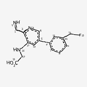 N=Cc1ncc(-c2cccc(CF)c2)cc1NCC(=O)O